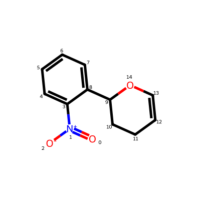 O=[N+]([O-])c1ccccc1C1CCC=CO1